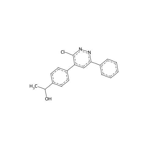 CC(O)c1ccc(-c2cc(-c3ccccc3)nnc2Cl)cc1